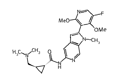 COc1ncc(F)c(OC)c1-c1cc2cc(NC(=O)[C@@H]3C[C@H]3CN(C)C)ncc2n1C